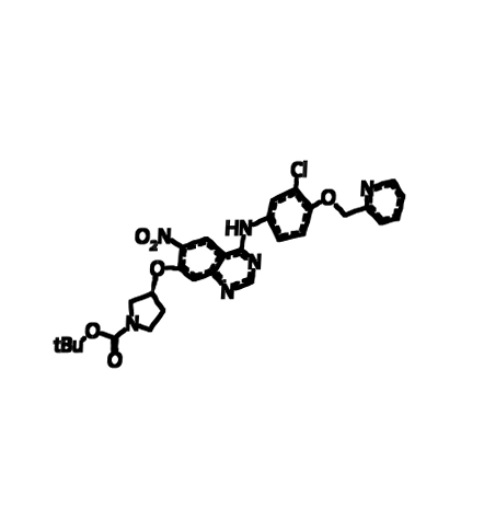 CC(C)(C)OC(=O)N1CC[C@H](Oc2cc3ncnc(Nc4ccc(OCc5ccccn5)c(Cl)c4)c3cc2[N+](=O)[O-])C1